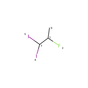 CC(F)C(I)I